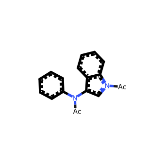 CC(=O)N(c1ccccc1)c1cn(C(C)=O)c2ccccc12